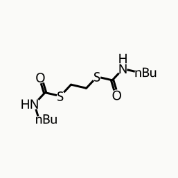 CCCCNC(=O)SCCSC(=O)NCCCC